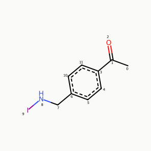 CC(=O)c1ccc(CNI)cc1